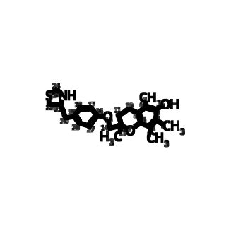 Cc1c(C)c2c(c(C)c1O)CCC(C)(COc1ccc(CC3CSCN3)cc1)O2